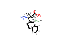 CC(C)(C(=O)O)C(N)c1ccc2ccccc2c1.Cl